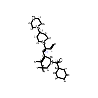 C=C/C(=C\C1=C(C)C(C)(C)CN(C(=O)C2CCCCC2)C1)N1CCC(N2CCOCC2)CC1